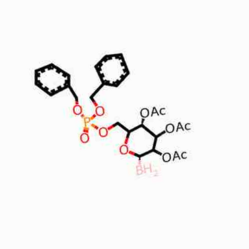 B[C@H]1OC(COP(=O)(OCc2ccccc2)OCc2ccccc2)[C@@H](OC(C)=O)C(OC(C)=O)C1OC(C)=O